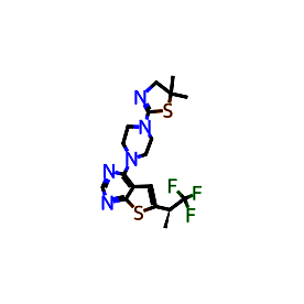 C[C@@H](c1cc2c(N3CCN(C4=NCC(C)(C)S4)CC3)ncnc2s1)C(F)(F)F